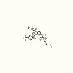 CCS(=O)(=O)c1ccc(NC(=O)NCCOC)nc1-c1nc2cc(C(F)(F)F)ncc2n1C